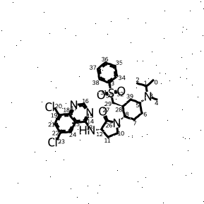 CC(C)N(C)[C@@H]1CC[C@H](N2CC[C@H](Nc3ncnc4c(Cl)cc(Cl)cc34)C2=O)[C@@H](CS(=O)(=O)c2ccccc2)C1